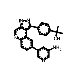 CC(C)(C#N)c1ccc(-c2n[nH]c3cnc4ccc(-c5cncc(N)c5)cc4c23)cc1